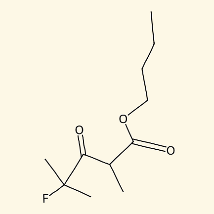 CCCCOC(=O)C(C)C(=O)C(C)(C)F